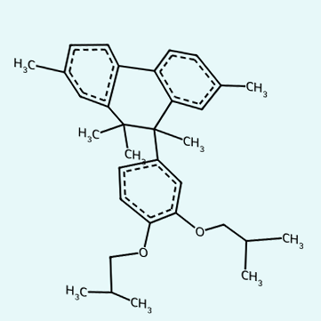 Cc1ccc2c(c1)C(C)(C)C(C)(c1ccc(OCC(C)C)c(OCC(C)C)c1)c1cc(C)ccc1-2